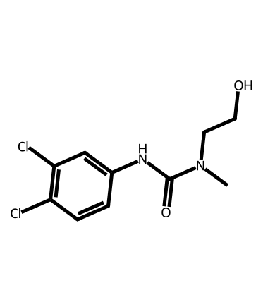 CN(CCO)C(=O)Nc1ccc(Cl)c(Cl)c1